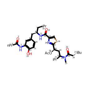 CCCC(=O)Nc1cc(C[C@@H](CC(C)C)NC(=O)c2csc([C@@H](CC(C(C)C)N(C)C(=O)C[C@@H](C)CC)OC(C)=O)n2)ccc1O